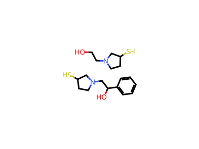 OC(CN1CCC(S)C1)c1ccccc1.OCCN1CCC(S)C1